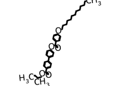 CCCCCCCCCCCCCOc1ccc(C(=O)Oc2ccc(-c3ccc(C(=O)OCC(C)CC)cc3)cc2)cc1